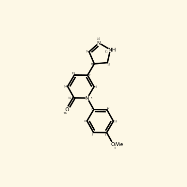 COc1ccc(-n2cc(C3C=NNC3)ccc2=O)cc1